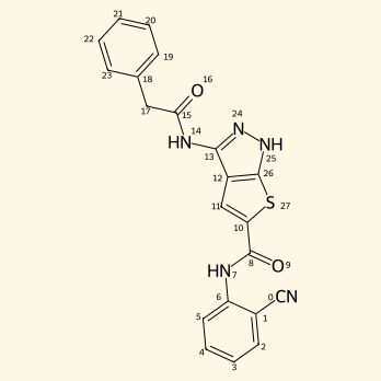 N#Cc1ccccc1NC(=O)c1cc2c(NC(=O)Cc3ccccc3)n[nH]c2s1